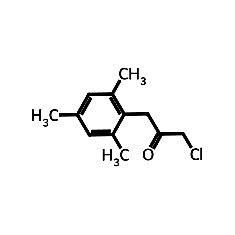 Cc1cc(C)c(CC(=O)CCl)c(C)c1